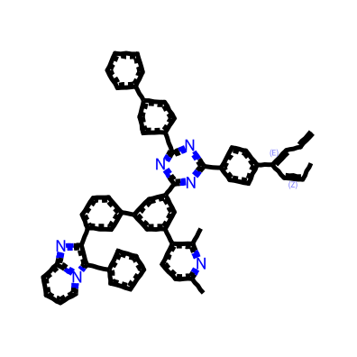 C=C/C=C(\C=C/C)c1ccc(-c2nc(-c3ccc(-c4ccccc4)cc3)nc(-c3cc(-c4cccc(-c5nc6ccccn6c5-c5ccccc5)c4)cc(-c4ccc(C)nc4C)c3)n2)cc1